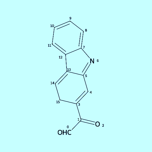 O=CC(=O)C1=CC2=Nc3ccccc3C2=CC1